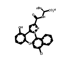 CCCC[C@H](NC(=O)c1cc(-c2c(O)cccc2O)n(-c2ccc(Cl)c3ccccc23)n1)C(=O)O